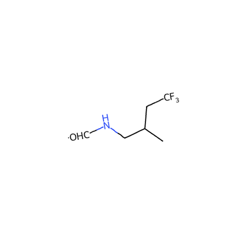 CC(CN[C]=O)CC(F)(F)F